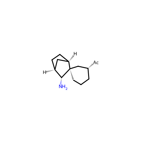 CC(=O)[C@@H]1CCC[C@@]2(C1)[C@@H]1CC[C@@H](C1)[C@H]2N